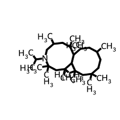 CC1CCC(C)(C)CC(C)(C)C2C(C(C)C1)C(C)(C)CC(C)CN(C(C)C)C(C)(C)CC2(C)C